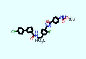 CC(C)(C)OC(=O)Nc1ccc(-c2nc(-c3ccc(C[C@@H](NC(=O)c4cccc(-c5ccc(Cl)cc5)c4)C(=O)O)cc3F)no2)cc1